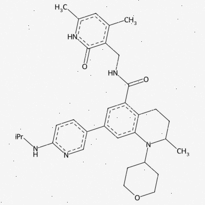 Cc1cc(C)c(CNC(=O)c2cc(-c3ccc(NC(C)C)nc3)cc3c2CCC(C)N3C2CCOCC2)c(=O)[nH]1